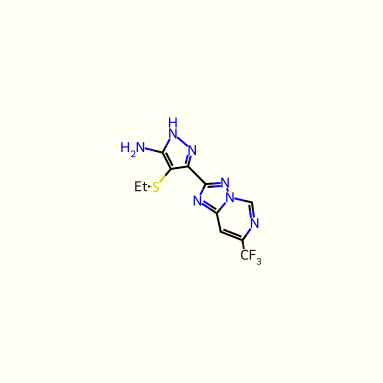 CCSc1c(-c2nc3cc(C(F)(F)F)ncn3n2)n[nH]c1N